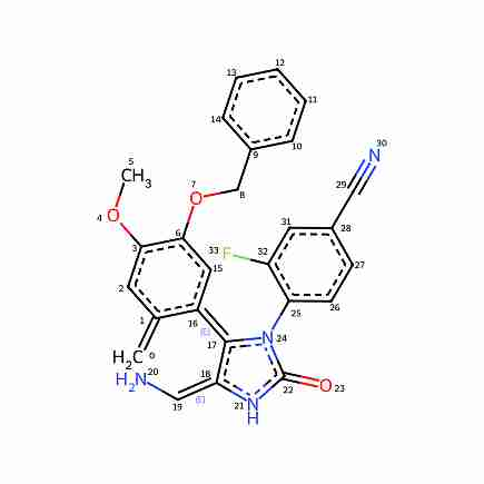 C=c1cc(OC)c(OCc2ccccc2)c/c1=c1/c(=C\N)[nH]c(=O)n1-c1ccc(C#N)cc1F